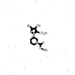 CCOC(=O)c1c(C#N)c(Br)nn1[C@@H]1CCCN(C(=O)OC(C)(C)C)C1